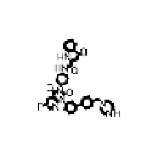 O=C(NC1CCC(n2c(=O)c3cc(F)cnc3n(-c3cccc(-c4ccc(CN5CCCNCC5)cc4)c3)c2=O)CC1)c1cc(=O)c2ccccc2[nH]1